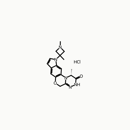 C[C@@H]1C(=O)NN=C2COc3cc4ccn(C5(C)CN(C)C5)c4cc3N21.Cl